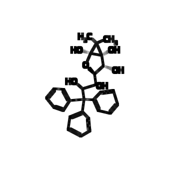 CC1(C)[C@]2(O)O[C@H]([C@H](O)C(O)C(c3ccccc3)(c3ccccc3)c3ccccc3)[C@@H](O)[C@]12O